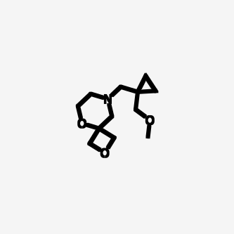 COCC1(CN2CCOC3(COC3)C2)CC1